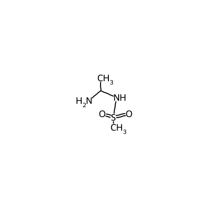 CC(N)NS(C)(=O)=O